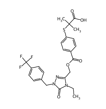 CCn1c(COC(=O)c2ccc(SC(C)(C)C(=O)O)cc2)nn(Cc2ccc(C(F)(F)F)cc2)c1=O